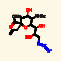 C=CC[C@]1(C(=O)OC)C[C@H](O)[C@@H](NC(C)=O)[C@H]([C@H](O)[C@H](O)CN=[N+]=[N-])O1